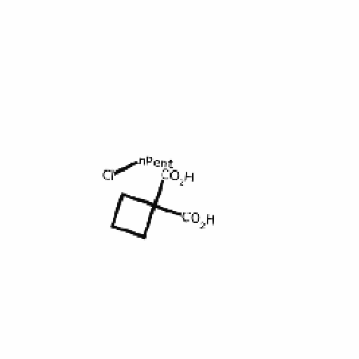 CCCCCCl.O=C(O)C1(C(=O)O)CCC1